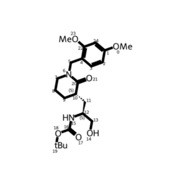 COc1ccc(CN2CCC[C@@H](C[C@@H](CO)NC(=O)OC(C)(C)C)C2=O)c(OC)c1